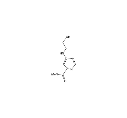 CNC(=O)c1cc(NCCO)ncn1